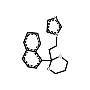 c1ccc2c(C3(CCn4ccnc4)OCCCO3)cccc2c1